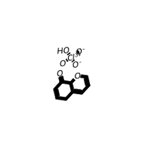 O=C1C=CCC2=CC=COC12.[O-][Cl+3]([O-])([O-])O